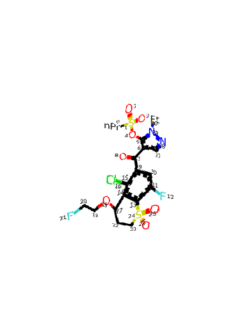 CCCS(=O)(=O)Oc1c(C(=O)c2cc(F)c3c(c2Cl)C(OCCF)CCS3(=O)=O)cnn1CC